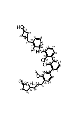 COc1nc(-c2ccnc(-c3cccc(Nc4nccc(CN5CC(O)C5)c4F)c3Cl)c2Cl)ccc1CNCC1CCC(=O)N1